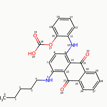 CCCCCNc1ccc(Nc2ccccc2OC(=O)O)c2c1C(=O)c1ccccc1C2=O